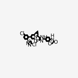 O=C1COc2cc(-c3nc(F)c(C4C5CC5c5cc(-c6cc(Cl)ccc6-n6cc(Cl)nn6)cc(=O)n54)[nH]3)ccc2N1